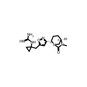 CN1C(=O)N2C[C@H]1CC[C@H]2c1cc(CC2(NC(=N)N)CC2)on1